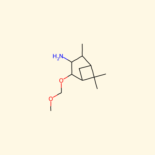 COCOC1C(N)C(C)C2CC1C2(C)C